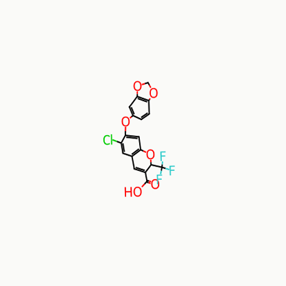 O=C(O)C1=Cc2cc(Cl)c(Oc3ccc4c(c3)OCO4)cc2OC1C(F)(F)F